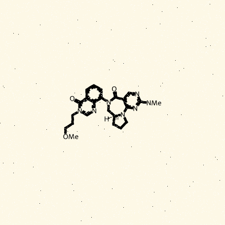 CNc1ncc2c(n1)N1CCC[C@H]1CN(c1cccc3c(=O)n(CCCOC)cnc13)C2=O